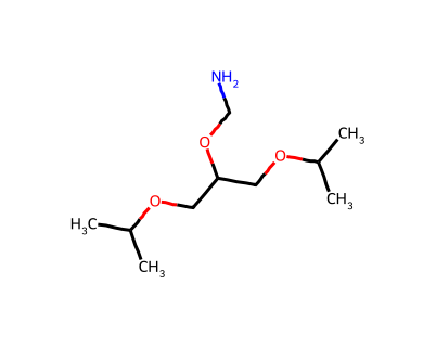 CC(C)OCC(COC(C)C)OCN